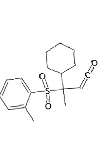 Cc1ccccc1S(=O)(=O)C(C)(C=C=O)C1CCCCC1